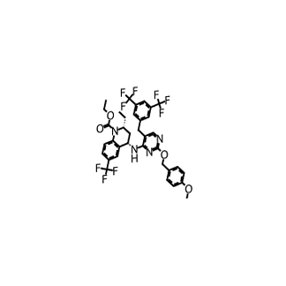 CCOC(=O)N1c2ccc(C(F)(F)F)cc2[C@@H](Nc2nc(OCc3ccc(OC)cc3)ncc2Cc2cc(C(F)(F)F)cc(C(F)(F)F)c2)C[C@H]1CC